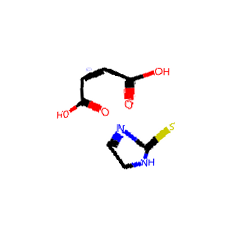 O=C(O)/C=C\C(=O)O.S=C1N=CCN1